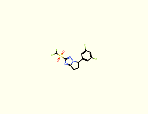 O=S(=O)(c1nc2n(n1)C(c1cc(F)cc(F)c1)CC2)C(F)F